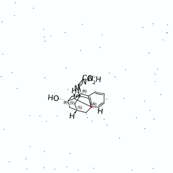 [N-]=[N+]=N[C@]12C[C@@H]3C[C@H](C1)[C@@H]([C@@H](CC(=O)O)c1ccccc1)[C@@](O)(C3)C2